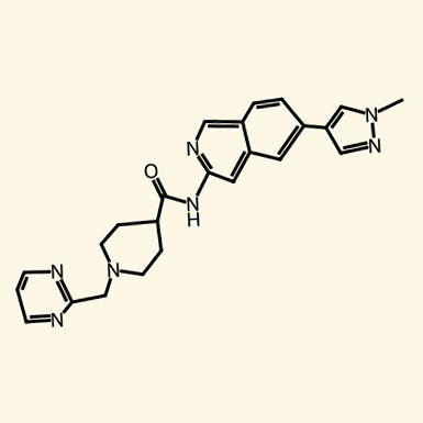 Cn1cc(-c2ccc3cnc(NC(=O)C4CCN(Cc5ncccn5)CC4)cc3c2)cn1